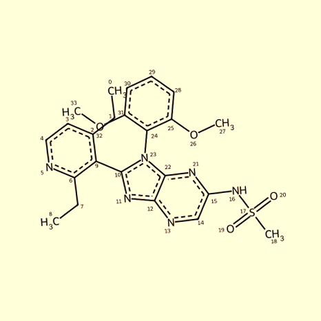 CCc1ccnc(CC)c1-c1nc2ncc(NS(C)(=O)=O)nc2n1-c1c(OC)cccc1OC